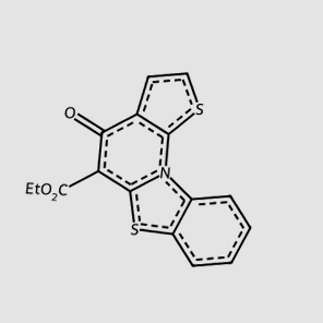 CCOC(=O)c1c(=O)c2ccsc2n2c1sc1ccccc12